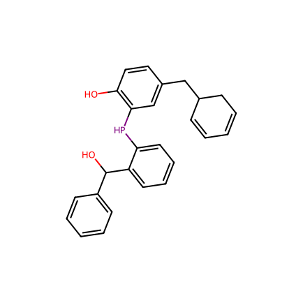 Oc1ccc(CC2C=CC=CC2)cc1Pc1ccccc1C(O)c1ccccc1